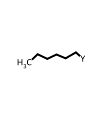 CCCCC[CH2][Y]